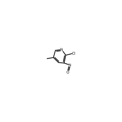 Cc1cnc(Cl)c(N=O)c1